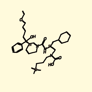 CCOCCCCC(O)(c1ccccc1)[C@@H]1CCCN(C(=O)N[C@@H](CC2CCCCC2)CN(CCC[Si](C)(C)C)C(=O)O)C1